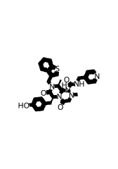 C[C@H]1[C@H]2N(C(=O)CN(C)N2C(=O)NCc2ccncc2)[C@@H](Cc2ccc(O)cc2)C(=O)N1Cc1csc2ccccc12